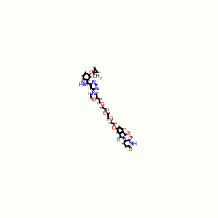 CC1(Oc2ccc3n[nH]c(-c4cc(N5CCOC(CCOCCOCCOCCOc6ccc7c(c6)C(=O)N(C6CCC(=O)NC6=O)C7=O)C5)ncn4)c3c2)CC1